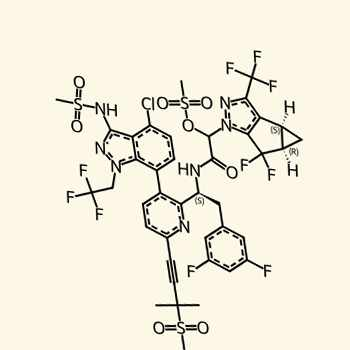 CC(C)(C#Cc1ccc(-c2ccc(Cl)c3c(NS(C)(=O)=O)nn(CC(F)(F)F)c23)c([C@H](Cc2cc(F)cc(F)c2)NC(=O)C(OS(C)(=O)=O)n2nc(C(F)(F)F)c3c2C(F)(F)[C@@H]2C[C@H]32)n1)S(C)(=O)=O